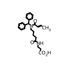 CC=CC(=O)N(CCCCC(=O)NCCC(=O)O)C(c1ccccc1)c1ccccc1